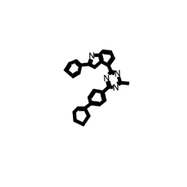 Cc1nc(-c2ccc(C3=CCCCC3)cc2)nc(-c2cccc3c2CC(c2ccccc2)=N3)n1